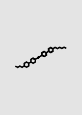 CCCCCCc1ccc(-c2ccc(C#CC3=CCC(C4CCC(CCCC)CC4)CC3)cc2)cc1